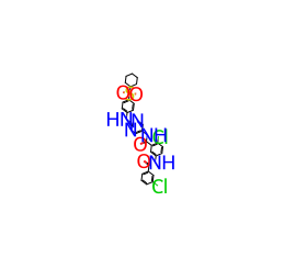 O=C(Nc1ccc(Cl)c(C(=O)Nc2cnc(Nc3ccc(S(=O)(=O)C4CCCCC4)cc3)nc2)c1)c1cccc(Cl)c1